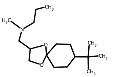 CCCN(C)CC1COC2(CCC(C(C)(C)C)CC2)O1